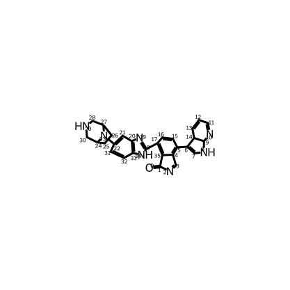 O=C1N=Cc2c(C3=CNC4N=CC=CC34)ccc(-c3nc4cc(N5C6CCC5CNC6)ccc4[nH]3)c21